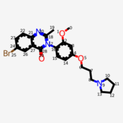 COc1cc(OCCCN2CCCC2)ccc1-n1c(C)nc2ccc(Br)cc2c1=O